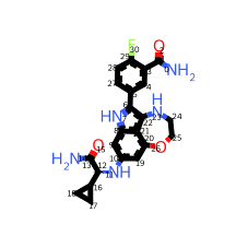 NC(=O)c1cc(-c2[nH]c3cc(N[C@H](C(N)=O)C4CC4)cc4c3c2NCCO4)ccc1F